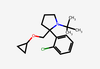 CC(C)(C)N1CCCC1(COC1CC1)c1ccccc1Cl